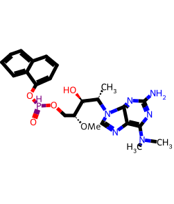 CO[C@H](CO[PH](=O)Oc1cccc2ccccc12)[C@@H](O)[C@H](C)n1cnc2c(N(C)C)nc(N)nc21